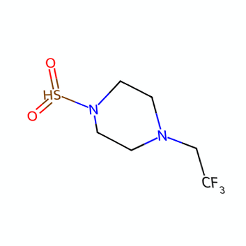 O=[SH](=O)N1CCN(CC(F)(F)F)CC1